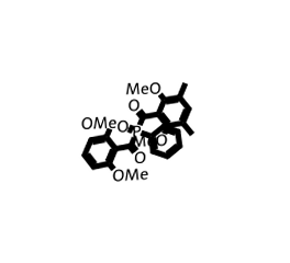 COc1cccc(OC)c1C(=O)P(=O)(C(=O)c1c(OC)c(C)cc(C)c1OC)c1ccccc1